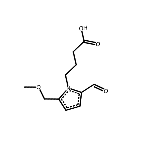 COCc1ccc(C=O)n1CCCC(=O)O